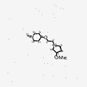 COC1CCN(CCOC2CCN(C)CC2)C1